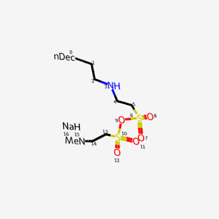 CCCCCCCCCCCCNCCS(=O)(=O)OS(=O)(=O)CCNC.[NaH]